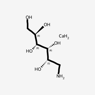 NC[C@H](O)[C@@H](O)[C@H](O)[C@H](O)CO.[CaH2]